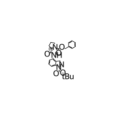 CC(C)(C)OC(=O)n1ncc2c(NC(=O)[C@H]3CCCN3C(=O)OCc3ccccc3)cccc21